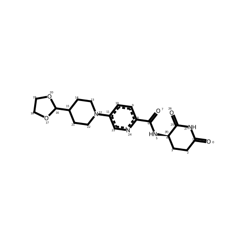 O=C1CC[C@@H](NC(=O)c2ccc(N3CCC(C4OCCO4)CC3)cn2)C(=O)N1